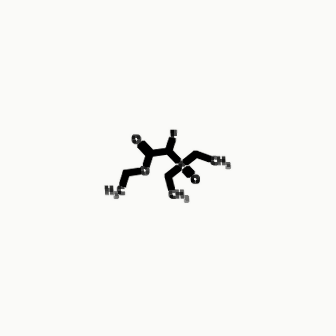 CCOC(=O)C(F)P(=O)(CC)CC